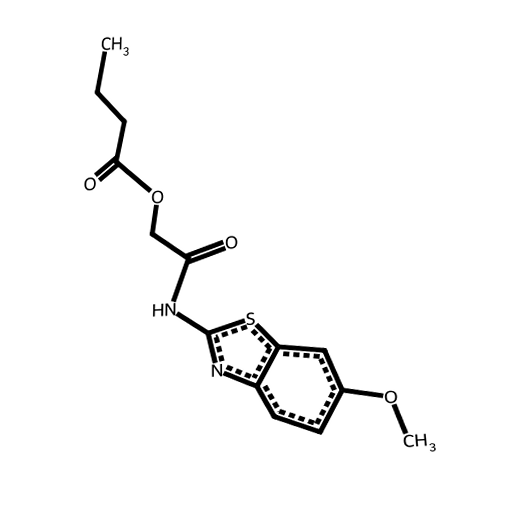 CCCC(=O)OCC(=O)Nc1nc2ccc(OC)cc2s1